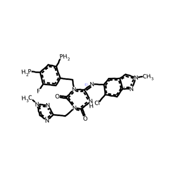 Cn1cnc(Cn2c(=O)[nH]/c(=N\c3cc4cn(C)nc4cc3Cl)n(Cc3cc(F)c(P)cc3P)c2=O)n1